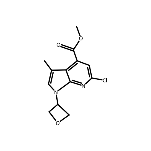 COC(=O)c1cc(Cl)nc2c1c(C)cn2C1COC1